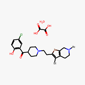 CCc1c(CCN2CCC(C(=O)c3cc(Cl)ccc3O)CC2)sc2c1CCN(C(C)=O)C2.O.O=C(O)C(=O)O